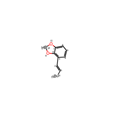 CCCCC=Cc1cccc2c1OBO2